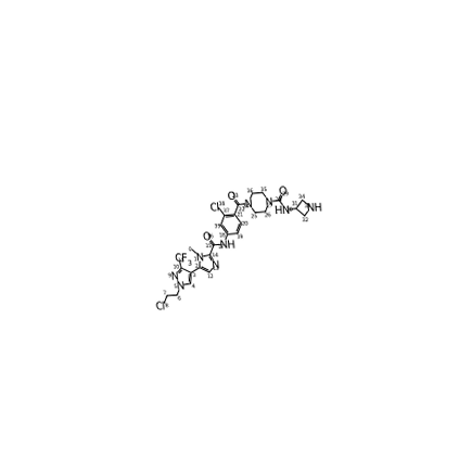 Cn1c(-c2cn(CCCl)nc2C(F)(F)F)cnc1C(=O)Nc1ccc(C(=O)N2CCN(C(=O)NC3CNC3)CC2)c(Cl)c1